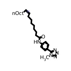 CCCCCCCC/C=C\CCCCCCCC(=O)Nc1ccc(-c2nnnn2C)cc1